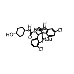 CNC(C(=O)N[C@H]1CC[C@H](O)CC1)C(c1cccc(Cl)c1F)C1(CC(C)(C)C)C(=O)Nc2cc(Cl)ccc21